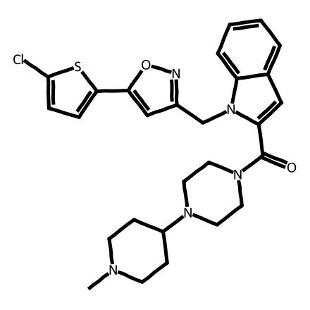 CN1CCC(N2CCN(C(=O)c3cc4ccccc4n3Cc3cc(-c4ccc(Cl)s4)on3)CC2)CC1